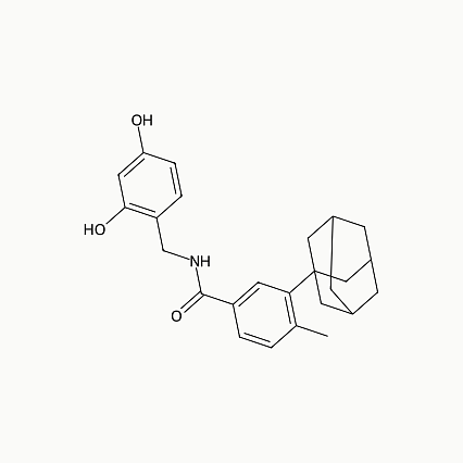 Cc1ccc(C(=O)NCc2ccc(O)cc2O)cc1C12CC3CC(CC(C3)C1)C2